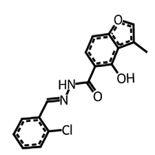 Cc1coc2ccc(C(=O)NN=Cc3ccccc3Cl)c(O)c12